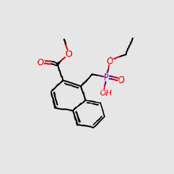 CCOP(=O)(O)Cc1c(C(=O)OC)ccc2ccccc12